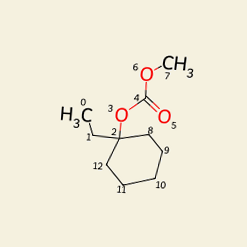 CCC1(OC(=O)OC)CCCCC1